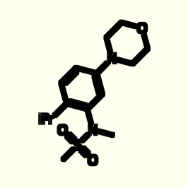 CC(C)c1ccc(N2CCOCC2)cc1N(C)S(C)(=O)=O